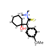 COc1ccc(C(C(=S)N(C)C)C2(O)CCCCC2)cc1